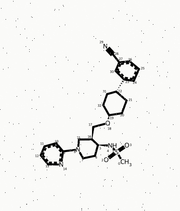 CS(=O)(=O)N[C@H]1CCN(c2ccccn2)C[C@H]1CO[C@H]1CC[C@@H](c2cccc(C#N)c2)CC1